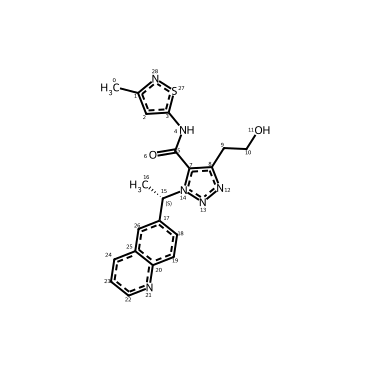 Cc1cc(NC(=O)c2c(CCO)nnn2[C@@H](C)c2ccc3ncccc3c2)sn1